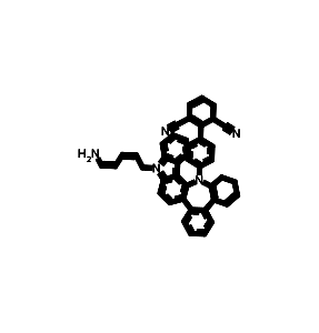 N#CC1=C(c2ccc(N3C4=C(C=CCC4)c4ccccc4-c4ccc5c(c43)c3ccccc3n5C/C=C\C=C/N)cc2)C(C#N)CC=C1